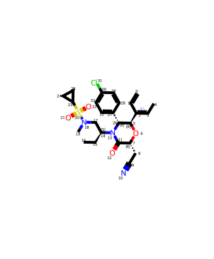 C=C/C(=C\C)[C@H]1O[C@H](CC#N)C(=O)N([C@@H](CC)CN(C)S(=O)(=O)C2CC2)[C@@H]1c1ccc(Cl)cc1